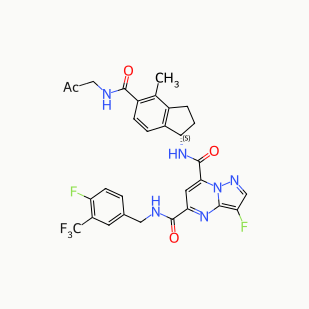 CC(=O)CNC(=O)c1ccc2c(c1C)CC[C@@H]2NC(=O)c1cc(C(=O)NCc2ccc(F)c(C(F)(F)F)c2)nc2c(F)cnn12